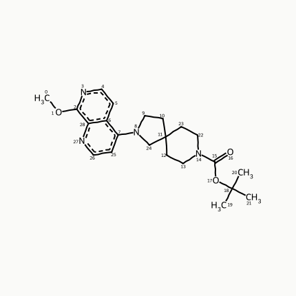 COc1nccc2c(N3CCC4(CCN(C(=O)OC(C)(C)C)CC4)C3)ccnc12